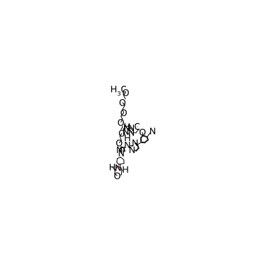 COCCOCCOCCOCCOCCOc1nn([C@H]2CC[C@H](N3[C@@H]4CC[C@H]3COC4)CC2)cc1Nc1nccc(-c2ccc(C#N)c(O[C@@H](C)Cn3cnnn3)c2)n1